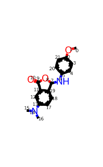 COc1ccc(NC2OC(=O)c3cc(N(C)C)ccc32)cc1